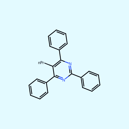 CCCc1c(-c2ccccc2)nc(-c2ccccc2)nc1-c1ccccc1